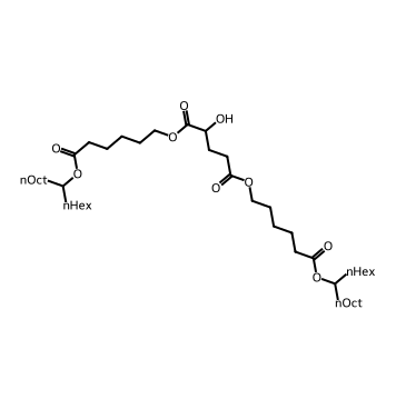 CCCCCCCCC(CCCCCC)OC(=O)CCCCCOC(=O)CCC(O)C(=O)OCCCCCC(=O)OC(CCCCCC)CCCCCCCC